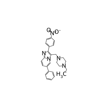 CCN1CCN(Cc2c(-c3ccc([N+](=O)[O-])cc3)nc3ccc(-c4ccccc4)cn23)CC1